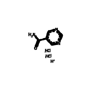 Cl.Cl.NC(=O)c1cncnc1.[H+]